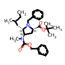 CCC(C)C[C@H]1[C@H](N(C)C(=O)OCc2ccccc2)C[C@H](C(=O)OC(C)(C)C)N1Cc1ccccc1